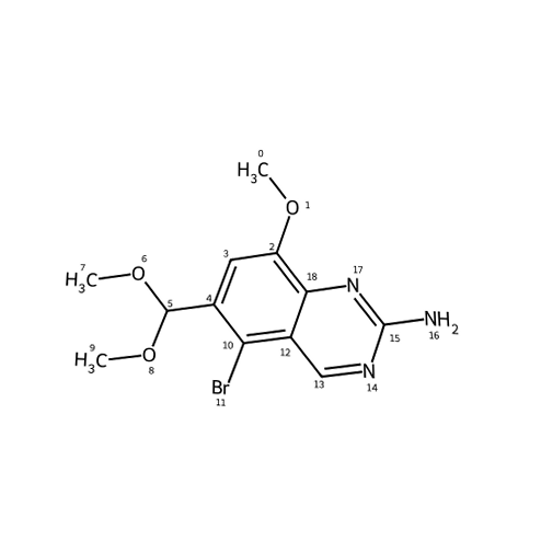 COc1cc(C(OC)OC)c(Br)c2cnc(N)nc12